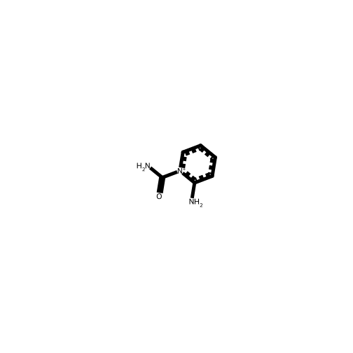 NC(=O)[n+]1ccccc1N